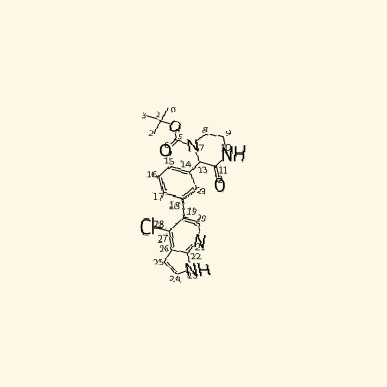 CC(C)(C)OC(=O)N1CCNC(=O)C1c1cccc(-c2cnc3[nH]ccc3c2Cl)c1